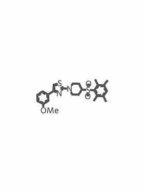 COc1cccc(-c2csc(N3CCC(S(=O)(=O)c4c(C)c(C)cc(C)c4C)CC3)n2)c1